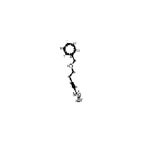 [Br][Mg][C]#CCCOCc1ccccc1